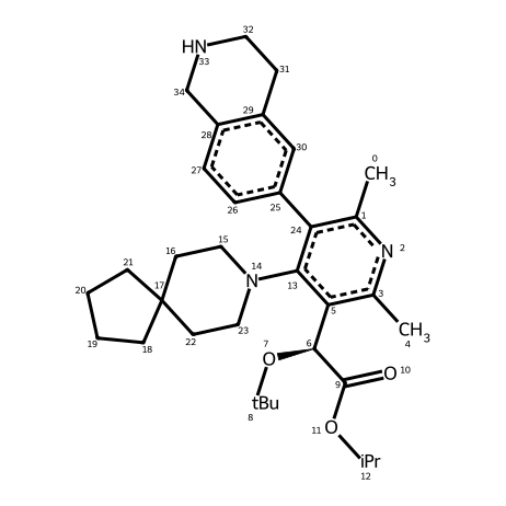 Cc1nc(C)c([C@H](OC(C)(C)C)C(=O)OC(C)C)c(N2CCC3(CCCC3)CC2)c1-c1ccc2c(c1)CCNC2